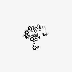 CS(=O)(=O)CCN(Cc1ccc(-c2ccc3ncnc(Nc4ccc(OCc5cccc(F)c5)c(Cl)c4)c3c2)o1)C(=O)OCOP(=O)(O)O.[NaH]